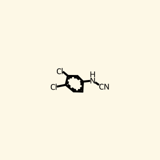 N#CNc1ccc(Cl)c(Cl)c1